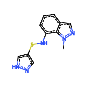 Cn1ncc2cccc(NSc3cn[nH]c3)c21